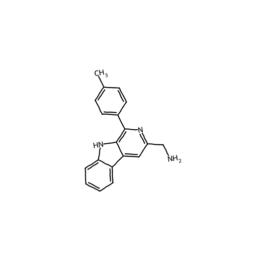 Cc1ccc(-c2nc(CN)cc3c2[nH]c2ccccc23)cc1